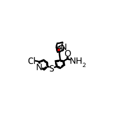 NC(=O)c1ccc(Sc2ccc(Cl)nc2)cc1C1CC2CCN(CC2)C1